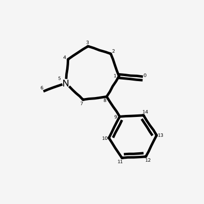 C=C1CCCN(C)CC1c1ccccc1